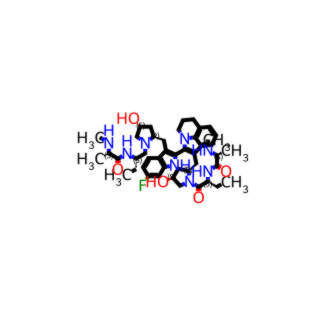 CC[C@@H](CN1C[C@@H](O)C[C@H]1Cc1c(-c2c(C[C@@H]3C[C@H](O)CN3C(=O)[C@H](CC)NC(=O)[C@H](C)NC)c3cccc4c3n2CCC4)[nH]c2cc(F)ccc12)NC(=O)[C@H](C)NC